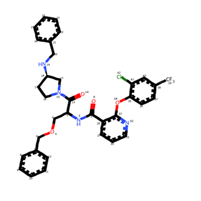 O=C(NC(COCc1ccccc1)C(=O)N1CC[C@@H](NCc2ccccc2)C1)c1cccnc1Oc1ccc(C(F)(F)F)cc1Cl